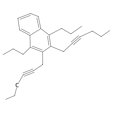 CCCC#CCc1c(CC#CCCC)c(CCC)c2ccccc2c1CCC